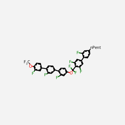 CCCCCc1ccc(-c2cc(F)c(C(F)(F)Oc3ccc(-c4ccc(-c5ccc(OC(F)(F)F)c(F)c5)c(F)c4)c(F)c3)c(F)c2)c(F)c1